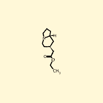 CCOC(=O)C[C@H]1CCN2CCC[C@@H]2C1